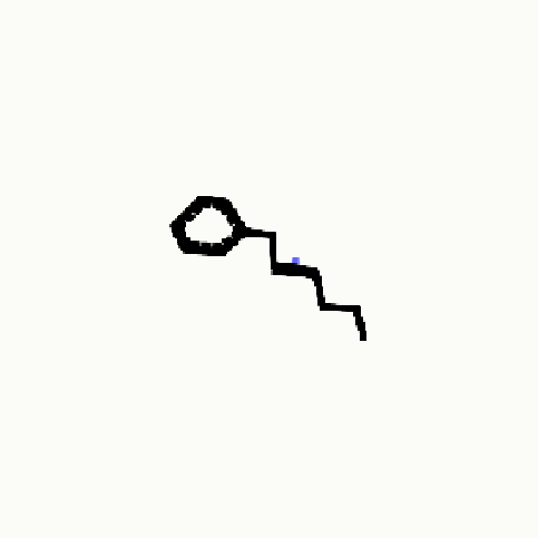 CCC/C=C/Cc1ccccc1